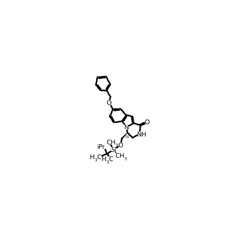 CC(C)C(C)(C)[Si](C)(C)OC[C@@H]1CNC(=O)c2cc3cc(OCc4ccccc4)ccc3n21